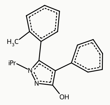 Cc1ccccc1-c1c(-c2ccccc2)c(O)nn1C(C)C